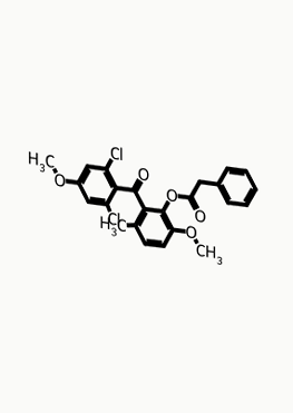 COc1cc(Cl)c(C(=O)c2c(C)ccc(OC)c2OC(=O)Cc2ccccc2)c(Cl)c1